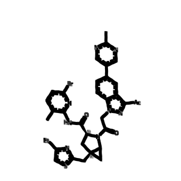 CCc1csc(C[C@]23CC2N(C(=O)Cn2nc(C(C)=O)c4cc(-c5cnc(C)nc5)ccc42)[C@H](C(=O)Nc2nc(Br)ccc2C)C3)n1